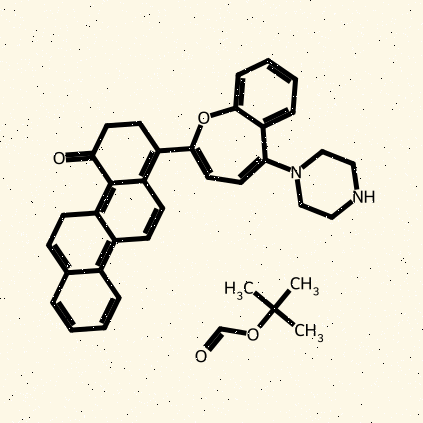 CC(C)(C)OC=O.O=C1CCC(C2=CC=C(N3CCNCC3)c3ccccc3O2)=c2ccc3c(c21)CC=c1ccccc1=3